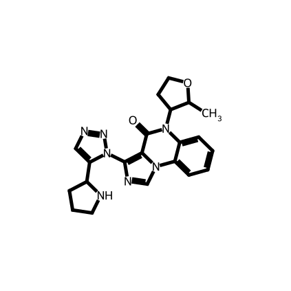 CC1OCCC1n1c(=O)c2c(-n3nncc3C3CCCN3)ncn2c2ccccc21